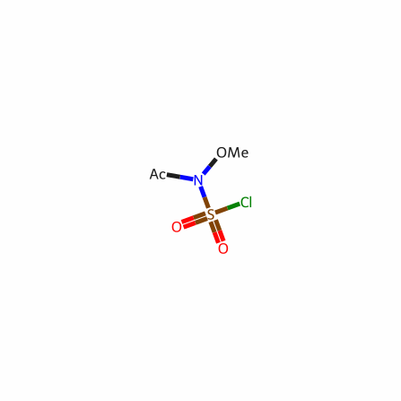 CON(C(C)=O)S(=O)(=O)Cl